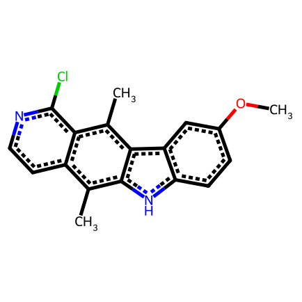 COc1ccc2[nH]c3c(C)c4ccnc(Cl)c4c(C)c3c2c1